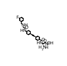 NC[C@H](NC(=O)c1ccc(C#Cc2ccc(NC(=O)CNCc3cccc(F)c3)cc2)cc1)C(=O)NO